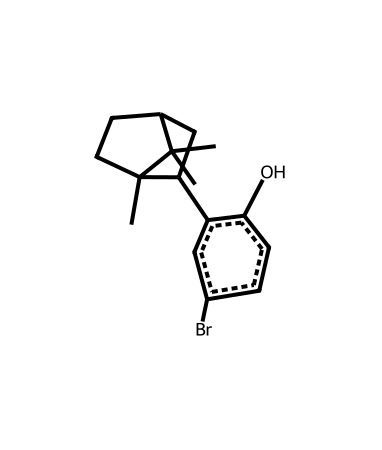 CC1(C)C2CCC1(C)C(c1cc(Br)ccc1O)C2